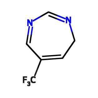 FC(F)(F)C1=CCN=CN=C1